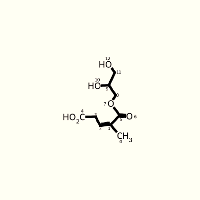 CC(=CCC(=O)O)C(=O)OCC(O)CO